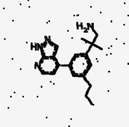 CCCc1cc(-c2ccnc3[nH]ncc23)cc(C(C)(C)CN)c1